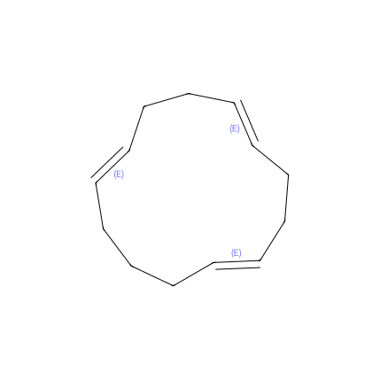 C1=C/CC/C=C/CCC/C=C/CC/1